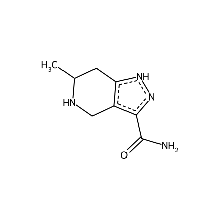 CC1Cc2[nH]nc(C(N)=O)c2CN1